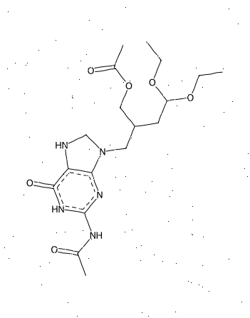 CCOC(CC(COC(C)=O)CN1CNc2c1nc(NC(C)=O)[nH]c2=O)OCC